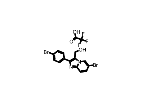 O=C(O)C(F)(F)F.OCc1c(-c2ccc(Br)cc2)nc2ccc(Br)cn12